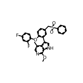 COc1ncc(C)c2c(-c3cc(CS(=O)(=O)c4ccccc4)ccc3Oc3ccc(F)cc3F)c[nH]c12